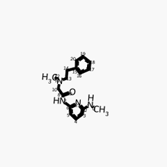 CNc1cccc(NC(=O)CN(C)CCc2ccccc2)n1